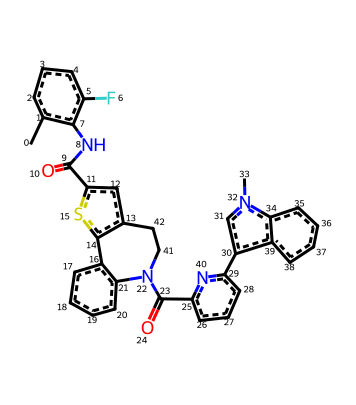 Cc1cccc(F)c1NC(=O)c1cc2c(s1)-c1ccccc1N(C(=O)c1cccc(-c3cn(C)c4ccccc34)n1)CC2